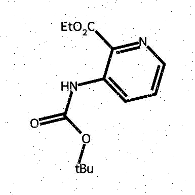 CCOC(=O)c1ncccc1NC(=O)OC(C)(C)C